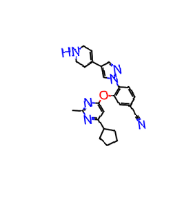 Cc1nc(Oc2cc(C#N)ccc2-n2cc(C3=CCNCC3)cn2)cc(C2CCCC2)n1